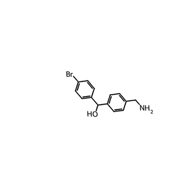 NCc1ccc(C(O)c2ccc(Br)cc2)cc1